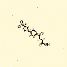 CC(C)(CNc1ccc(C(=O)CCC(=O)O)cc1)[N+](=O)[O-]